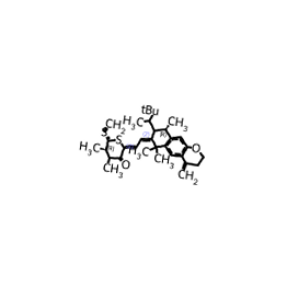 C=S=C1S/C(=C\C=C2\C(C(C)C(C)(C)C)[C@@H](C)c3cc4c(cc3C2(C)C)C(=C)CCO4)C(=O)C(C)[C@H]1C